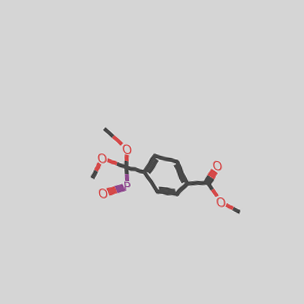 COC(=O)c1ccc(C(OC)(OC)P=O)cc1